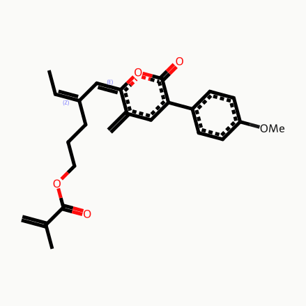 C=C(C)C(=O)OCCCC(=C/C)/C=c1/oc(=O)c(-c2ccc(OC)cc2)cc1=C